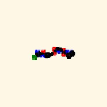 CC(CCOC(=O)Nc1cccc2ccccc12)NC(=O)OCCc1ccc(NC(=O)c2cncc(Br)c2)cc1